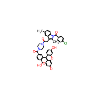 Cc1ccc2c(c1)c(CC(=O)N1CCN(C(=O)c3ccc(C(=O)O)c(-c4c5ccc(=O)cc-5oc5cc(O)ccc45)c3)CC1)c(C)n2C(=O)c1ccc(Cl)cc1